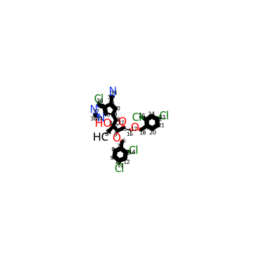 C#C[C@@]1(O)[C@H](OCc2ccc(Cl)cc2Cl)[C@@H](COCc2ccc(Cl)cc2Cl)O[C@H]1[C@@H]1C=C(C#N)c2c(Cl)ncnc21